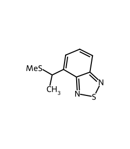 CSC(C)c1cccc2nsnc12